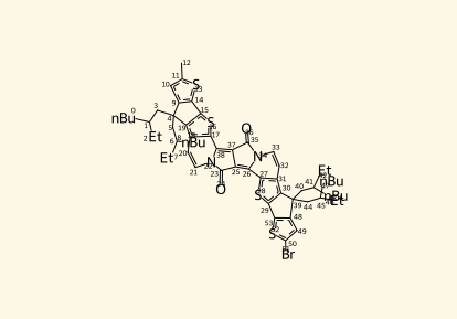 CCCCC(CC)CC1(CC(CC)CCCC)c2cc(C)sc2-c2sc3c(c21)C=CN1C(=O)C2=C4c5sc6c(c5C=CN4C(=O)C2=C31)C(CC(CC)CCCC)(CC(CC)CCCC)c1cc(Br)sc1-6